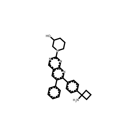 NC1(c2ccc(-c3nc4nc(N5CCCC(O)C5)ncc4cc3-c3ccccc3)cc2)CCC1